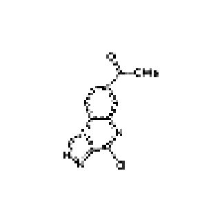 COC(=O)c1ccc2c(c1)nc(Cl)c1nncn12